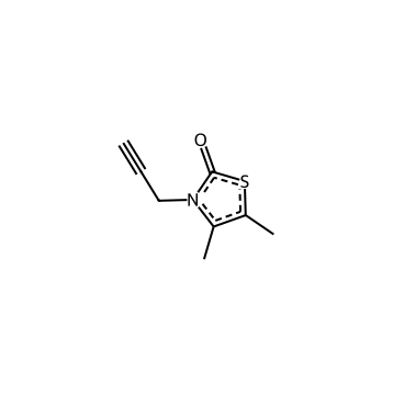 C#CCn1c(C)c(C)sc1=O